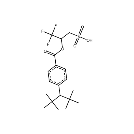 CC(C)(C)C(c1ccc(C(=O)OC(CS(=O)(=O)O)C(F)(F)F)cc1)C(C)(C)C